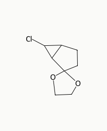 ClC1C2CCC3(OCCO3)C12